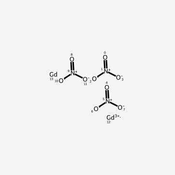 O=[N+]([O-])[O-].O=[N+]([O-])[O-].O=[N+]([O-])[O-].[Gd+3].[Gd]